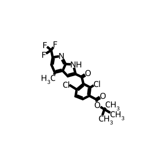 Cc1cc(C(F)(F)F)nc2[nH]c(C(=O)c3c(Cl)ccc(C(=O)OC(C)(C)C)c3Cl)cc12